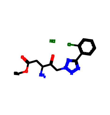 CC(C)(C)OC(=O)CC(N)C(=O)Cn1nnc(-c2ccccc2Cl)n1.Cl